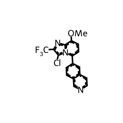 COc1ccc(-c2ccc3cnccc3c2)n2c(Cl)c(C(F)(F)F)nc12